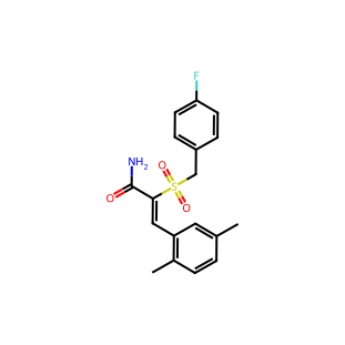 Cc1ccc(C)c(C=C(C(N)=O)S(=O)(=O)Cc2ccc(F)cc2)c1